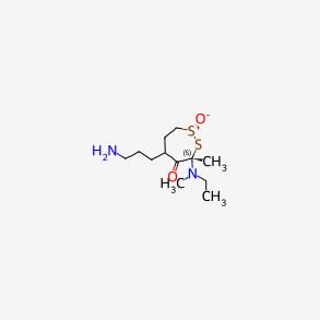 CCN(C)[C@@]1(C)S[S+]([O-])CCC(CCCN)C1=O